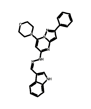 C(=N/Nc1cc(N2CCOCC2)n2nc(-c3ccccc3)cc2n1)/c1c[nH]c2ccccc12